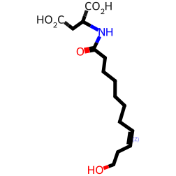 O=C(O)CC(NC(=O)CCCCCC/C=C\CCO)C(=O)O